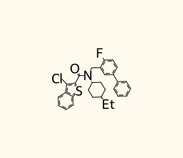 CC[C@H]1CC[C@H](N(Cc2cc(-c3ccccc3)ccc2F)C(=O)c2sc3ccccc3c2Cl)CC1